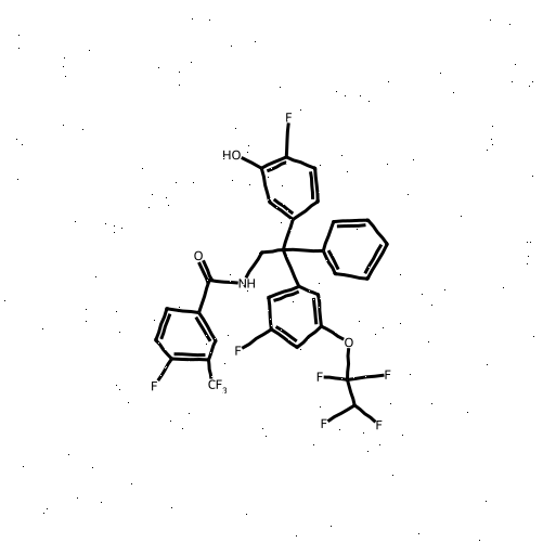 O=C(NCC(c1ccccc1)(c1cc(F)cc(OC(F)(F)C(F)F)c1)c1ccc(F)c(O)c1)c1ccc(F)c(C(F)(F)F)c1